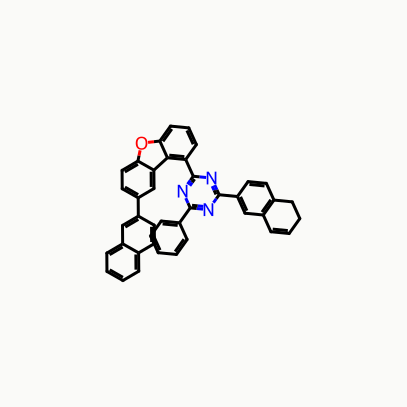 C1=Cc2cc(-c3nc(-c4ccccc4)nc(-c4cccc5oc6ccc(-c7ccc8ccccc8c7)cc6c45)n3)ccc2CC1